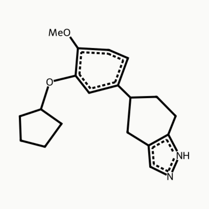 COc1ccc(C2CCc3[nH]ncc3C2)cc1OC1CCCC1